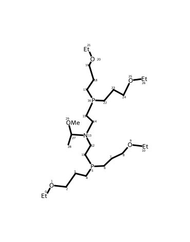 CCOCCCP(CCCOCC)CCN(CCP(CCCOCC)CCCOCC)C(C)OC